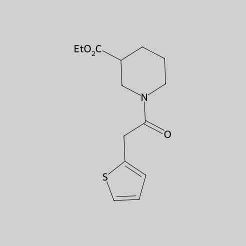 CCOC(=O)C1CCCN(C(=O)Cc2cccs2)C1